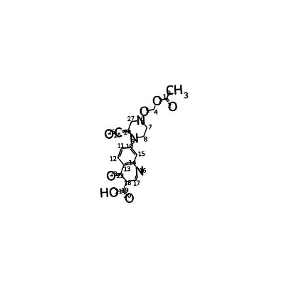 CC(=O)OCON1CCN(c2ccc3c(c2)N=CC(C(=O)O)C3=O)C(=C=O)C1